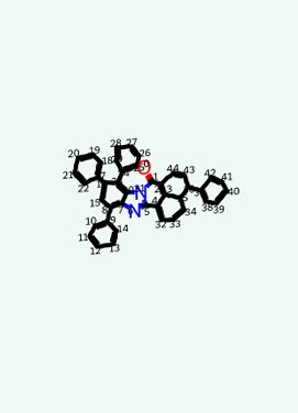 O=c1c2c3c(c4nc5c(-c6ccccc6)cc(-c6ccccc6)c(-c6ccccc6)c5n14)=CC=CC3C(c1ccccc1)C=C2